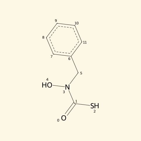 O=C(S)N(O)Cc1ccccc1